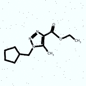 CCOC(=O)c1nnn(CC2CCCC2)c1C